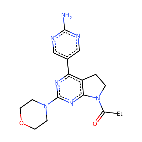 CCC(=O)N1CCc2c(-c3cnc(N)nc3)nc(N3CCOCC3)nc21